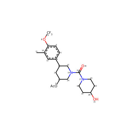 CC(=O)OC1CC(c2ccc(OC(F)(F)F)c(C)c2)CN(C(=O)N2CCC(O)CC2)C1